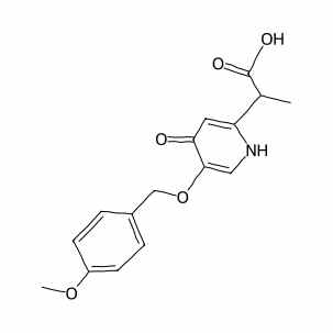 COc1ccc(COc2c[nH]c(C(C)C(=O)O)cc2=O)cc1